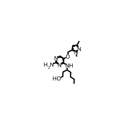 CCCCC(CCO)Nc1nc(N)ncc1OCc1cc(C)nn1C